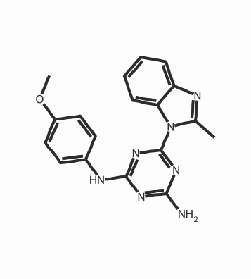 COc1ccc(Nc2nc(N)nc(-n3c(C)nc4ccccc43)n2)cc1